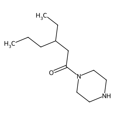 CCCC(CC)CC(=O)N1CCNCC1